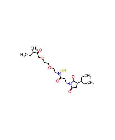 CCC(C)C(=O)COCCOCCN(S)C(=O)CCN1C(=O)CC(C(CC)CC)C1=O